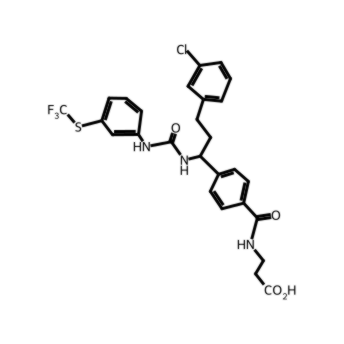 O=C(O)CCNC(=O)c1ccc(C(CCc2cccc(Cl)c2)NC(=O)Nc2cccc(SC(F)(F)F)c2)cc1